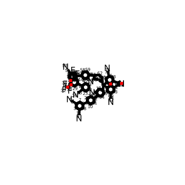 N#Cc1cc(C#N)cc(-c2ccc3c4ccc5cc4n(c3c2)-c2cc(C#N)c(-c3cc(C(F)(F)F)cc(C(F)(F)F)c3)cc2-n2c3cc(-c4cc(C#N)cc(C#N)c4)ccc3c3ccc(cc32)C5(c2cc(C#N)cc(C#N)c2)c2cc(C#N)cc(C#N)c2)c1